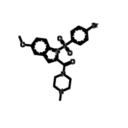 COc1ccc2c(c1)cc(C(=O)N1CCN(C)CC1)n2S(=O)(=O)c1ccc(Br)cc1